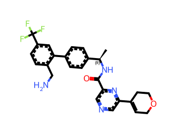 C[C@@H](NC(=O)c1cncc(C2=CCOCC2)n1)c1ccc(-c2cc(C(F)(F)F)ccc2CN)cc1